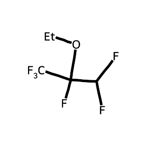 [CH2]COC(F)(C(F)F)C(F)(F)F